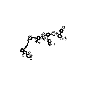 CC1(C)CCC(CN2CCN(c3ccc(C(=O)NS(=O)(=O)c4ccc(NCc5cn(CCCCC#Cc6cccc7c6CN(C6CCC(=O)NC6=O)C7=O)nn5)c([N+](=O)[O-])c4)c(Oc4cnc5[nH]ccc5c4)c3)CC2)=C(c2ccc(Cl)cc2)C1